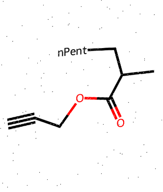 C#CCOC(=O)C(C)CCCCCC